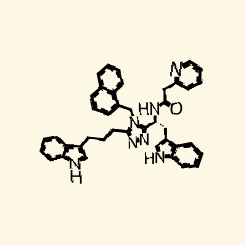 O=C(Cc1ccccn1)N[C@H](Cc1c[nH]c2ccccc12)c1nnc(CCCc2c[nH]c3ccccc23)n1Cc1cccc2ccccc12